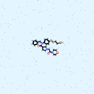 O=C(CN1CCC(C(=O)N(Cc2ccccc2)c2ccc(SSCCS)cc2)C1)N1CCOCC1